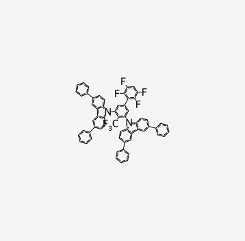 Fc1cc(F)c(F)c(-c2cc(-n3c4ccc(-c5ccccc5)cc4c4cc(-c5ccccc5)ccc43)c(C(F)(F)F)c(-n3c4ccc(-c5ccccc5)cc4c4cc(-c5ccccc5)ccc43)c2)c1F